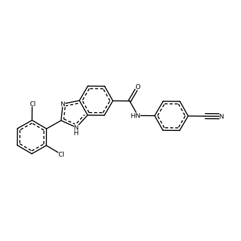 N#Cc1ccc(NC(=O)c2ccc3nc(-c4c(Cl)cccc4Cl)[nH]c3c2)cc1